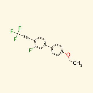 CCOc1ccc(-c2ccc(C#CC(F)(F)F)c(F)c2)cc1